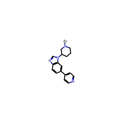 CC(=O)N1CCCC(n2cnc3ccc(-c4ccncc4)cc32)C1